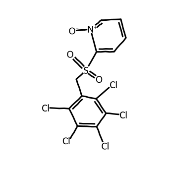 O=S(=O)(Cc1c(Cl)c(Cl)c(Cl)c(Cl)c1Cl)c1cccc[n+]1[O-]